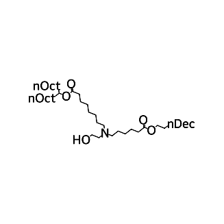 CCCCCCCCCCCCOC(=O)CCCCCN(CCO)CCCCCCCC(=O)OC(CCCCCCCC)CCCCCCCC